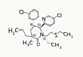 C=CC[C@@]1(C)C[C@H](c2cccc(Cl)c2)[C@@H](c2ccc(Cl)cn2)N([C@@H](CC)CSCC)C1=O